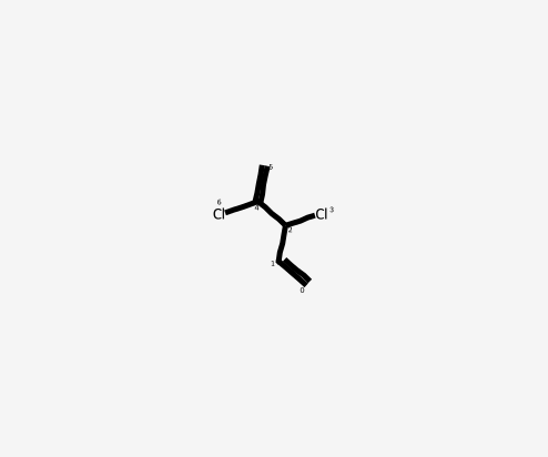 C=CC(Cl)C(=C)Cl